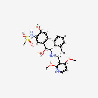 COc1ccnc(OC)c1[C@@H](Cc1ccccc1)NC[C@@H](O)c1ccc(O)c(NS(C)(=O)=O)c1